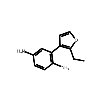 CCc1occc1-c1cc(N)ccc1N